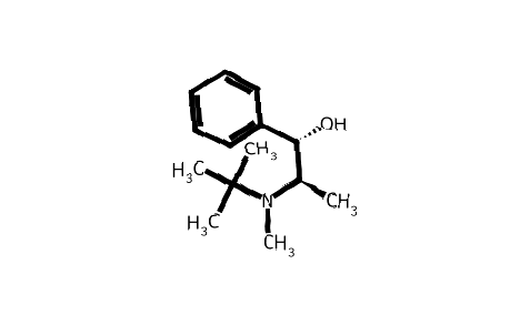 C[C@H]([C@@H](O)c1ccccc1)N(C)C(C)(C)C